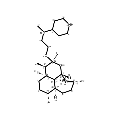 C[C@@H]1CC[C@H]2[C@@H](C)[C@@](C)(OCCN(C)C3CCNCC3)O[C@@H]3O[C@]4(C)CC[C@@H]1[C@]32OO4